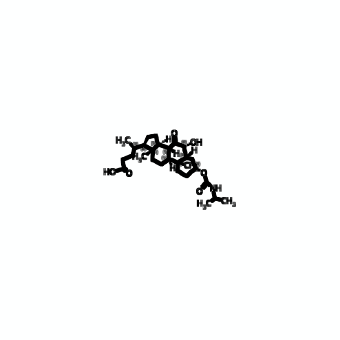 CC(C)NC(=O)O[C@@H]1CC[C@]2(C)[C@H]3CC[C@]4(C)[C@@H]([C@H](C)CCC(=O)O)CC[C@H]4[C@@H]3C(=O)[C@H](O)[C@@H]2C1